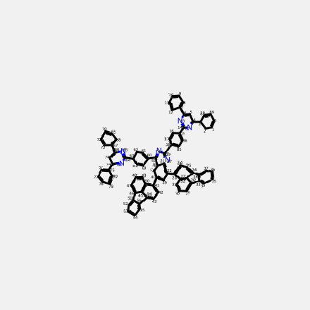 C1=CCC(c2cc(-c3ccccc3)nc(-c3ccc(C4=NC5=C(c6ccc7c8c(cccc68)-c6ccccc6-7)C=C(c6ccc7c8c(cccc68)-c6ccccc6-7)CC5C(C5=CCC(c6nc(-c7ccccc7)cc(-c7ccccc7)n6)C=C5)=N4)cc3)n2)C=C1